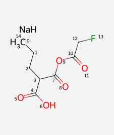 CCCC(C(=O)O)C(=O)OC(=O)CF.[NaH]